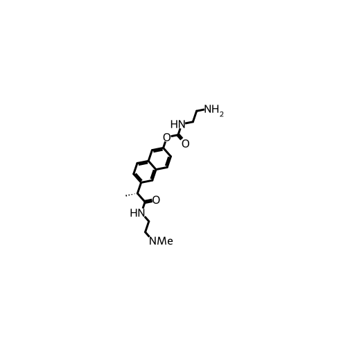 CNCCNC(=O)[C@H](C)c1ccc2cc(OC(=O)NCCN)ccc2c1